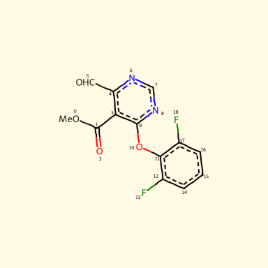 COC(=O)c1c(C=O)ncnc1Oc1c(F)cccc1F